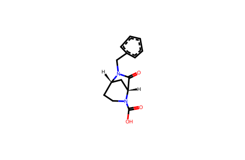 O=C1[C@H]2C[C@H](CCN2C(=O)O)N1Cc1ccccc1